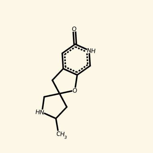 CC1CC2(CN1)Cc1cc(=O)[nH]cc1O2